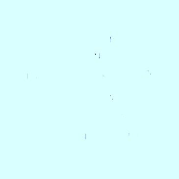 CCCC(CCC)c1cc(Nc2cc(C#N)ccn2)nc(N2CCC(CC)(CCC)C2)c1